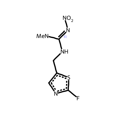 CN/C(=N\[N+](=O)[O-])NCc1cnc(F)s1